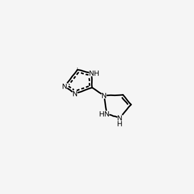 [c]1nnc(N2C=CNN2)[nH]1